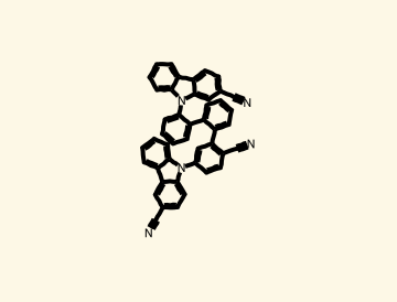 N#Cc1ccc2c(c1)c1ccccc1n2-c1ccc(C#N)c(-c2ccccc2-c2ccccc2-n2c3ccccc3c3ccc(C#N)cc32)c1